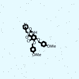 COc1ccc(COc2cc3[nH]c(=O)n(CC45CCN(CC4)CC5)c(=O)c3c(Cl)c2OCc2ccc(OC)cc2)cc1